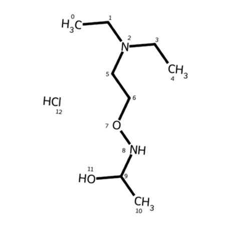 CCN(CC)CCONC(C)O.Cl